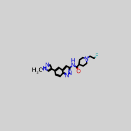 Cn1cc(-c2ccc3nnc(NC(=O)C4CCN(CCF)CC4)cc3c2)cn1